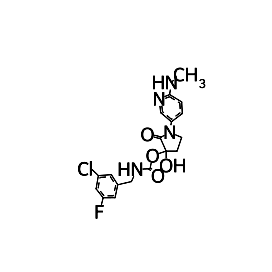 CNc1ccc(N2CCC(O)(OC(=O)NCc3cc(F)cc(Cl)c3)C2=O)cn1